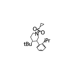 CC(C)c1ccccc1C1CN(S(=O)(=O)C2CC2)CCC1C(C)(C)C